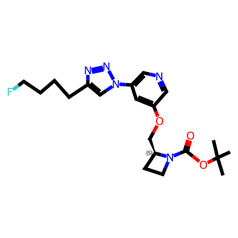 CC(C)(C)OC(=O)N1CC[C@H]1COc1cncc(-n2cc(CCCCF)nn2)c1